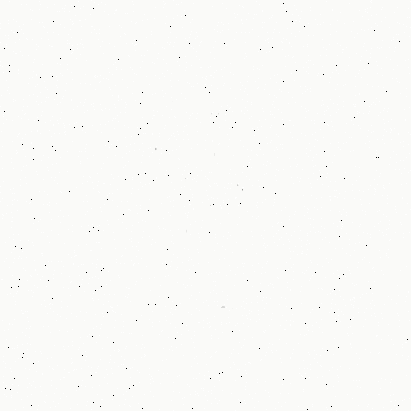 CCCCCCCCCCCCOS(=O)([O-])=S.[Na+]